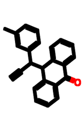 C#CC(c1cccc(C)c1)C1c2ccccc2C(=O)c2ccccc21